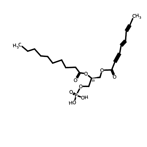 CC#CC#CC#CC(=O)OC[C@@H](COP(=O)(O)O)OC(=O)CCCCCCCCC